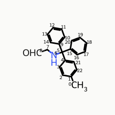 Cc1ccc(C(NCC=O)(c2ccccc2)c2ccccc2)cc1